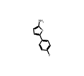 Nc1ccc(-c2ccc(F)cc2)s1